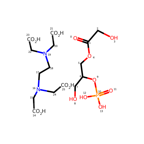 O=C(CO)OCC(CO)OP(=O)(O)O.O=C(O)CN(CCN(CC(=O)O)CC(=O)O)CC(=O)O